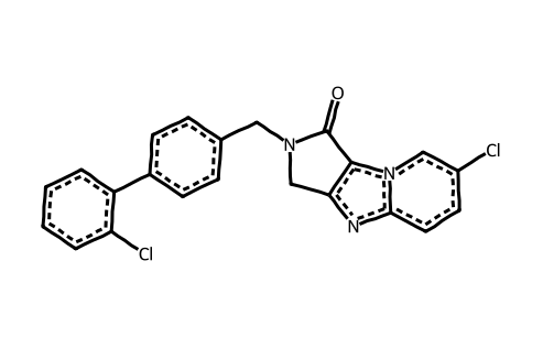 O=C1c2c(nc3ccc(Cl)cn23)CN1Cc1ccc(-c2ccccc2Cl)cc1